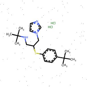 CC(C)(C)NCC(Cn1ccnc1)Sc1ccc(C(C)(C)C)cc1.Cl.Cl